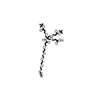 CC(C)(C)OC(=O)CCOCC(COCCC(=O)O)(COCCC(=O)OC(C)(C)C)NC(=O)CCOCCOCCOCCOCCN=[N+]=[N-]